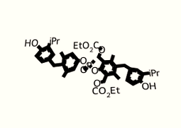 CCOC(=O)OCc1c(C)c(Cc2ccc(O)c(C(C)C)c2)c(C)c(COC(=O)OCC)c1OP(C)(=O)Oc1cc(C)c(Cc2ccc(O)c(C(C)C)c2)c(C)c1